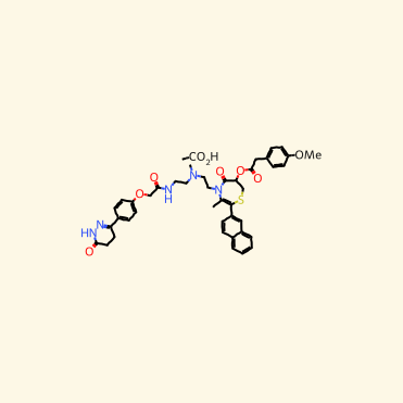 CC(=O)O.COc1ccc(CC(=O)OC2CSC(c3ccc4ccccc4c3)=C(C)N(CCN(C)CCNC(=O)COc3ccc(C4=NNC(=O)CC4)cc3)C2=O)cc1